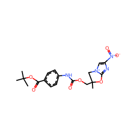 CC(C)(C)OC(=O)c1ccc(NC(=O)OCC2(C)C[N+]3C=C([N+](=O)[O-])N=C3O2)cc1